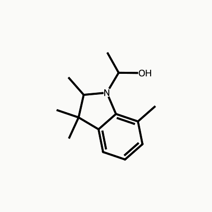 Cc1cccc2c1N(C(C)O)C(C)C2(C)C